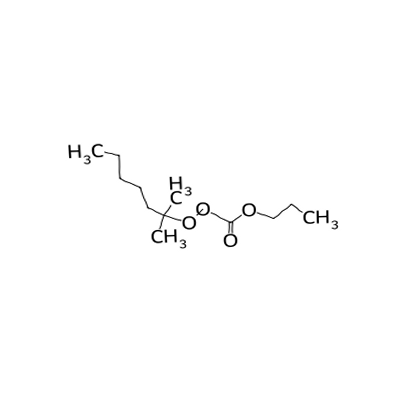 CCCCCC(C)(C)OOC(=O)OCCC